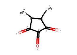 CCCC1C(=O)C(=O)C(=O)C1CCC